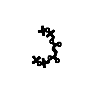 C[Si](C)(C)O[Si](C)(C)COC(=O)C=CC(=O)OC[Si](C)(C)O[Si](C)(C)C